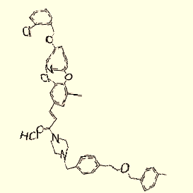 Cc1ccc(COCCc2ccc(CN3CCN(C(=O)/C=C/c4cc(C)c(Oc5ccc(OCc6ccccc6Cl)cn5)c(Cl)c4)CC3)cc2)cc1.Cl